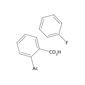 CC(=O)c1ccccc1C(=O)O.Fc1ccccc1